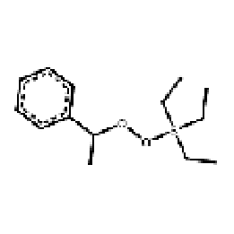 CC[Si](CC)(CC)OOC(C)c1ccccc1